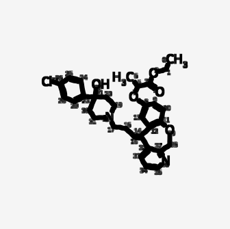 CCOC(=O)C(C)Oc1ccc2c(c1)C(=CCCN1CCC(O)(c3ccc(Cl)cc3)CC1)c1cccnc1CO2